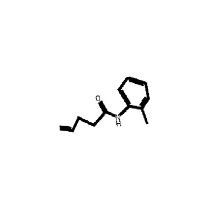 C=CCCC(=O)Nc1ccccc1C